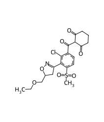 CCOCC1CC(c2c(S(C)(=O)=O)ccc(C(=O)C3C(=O)CCCC3=O)c2Cl)=NO1